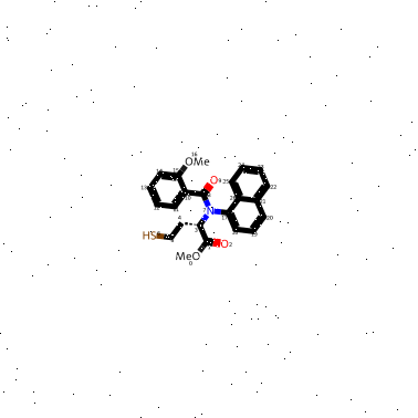 COC(=O)[C@H](CCS)N(C(=O)c1ccccc1OC)c1cccc2ccccc12